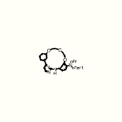 CCCCCN(CCC)c1ccc2cc1OCCOCCOc1cccc(c1)-c1ccnc(n1)N2